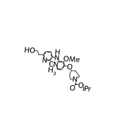 COc1c(OC2CCN(C(=O)OC(C)C)CC2)ccnc1Nc1ccc(CCO)nc1C